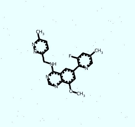 COc1cc(-c2ncc(C)cc2F)cc2c(NCc3ccc(C)nn3)ncnc12